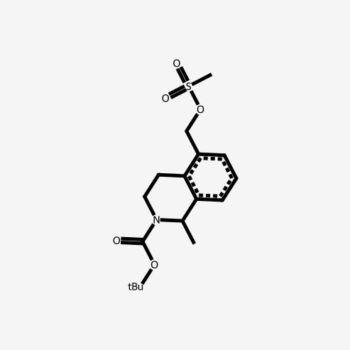 CC1c2cccc(COS(C)(=O)=O)c2CCN1C(=O)OC(C)(C)C